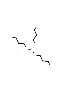 O=S(=O)(O)O.OCCCON(OCCCO)OCCCO